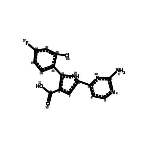 Nc1nccc(-c2cc(C(=O)O)c(-c3ccc(F)cc3Cl)[nH]2)n1